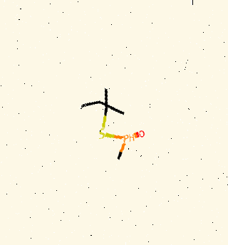 C[PH](=O)SC(C)(C)C